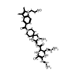 Cc1c(C)n(CCN=O)c2ccc(C(=O)N3CCC4(CC3)CN(N)/C(=N\C(=O)C3NC(Cl)=C(N=NN)NC3N=NN)N4)cc12